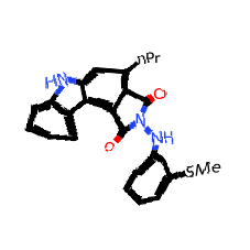 CCCc1cc2[nH]c3ccccc3c2c2c1C(=O)N(Nc1ccccc1SC)C2=O